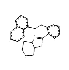 c1ccc(C2=NC3CCCCC3N2)c(CCc2cccc3ccccc23)c1